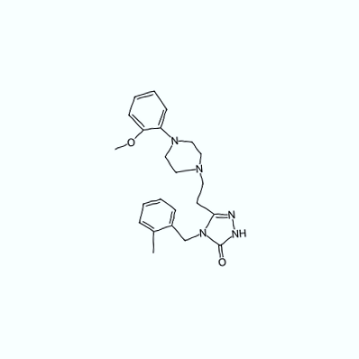 COc1ccccc1N1CCN(CCc2n[nH]c(=O)n2Cc2ccccc2C)CC1